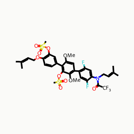 COc1cc(-c2cc(F)c(N(CC=C(C)C)C(=O)C(F)(F)F)cc2F)c(OC)c(OS(C)(=O)=O)c1-c1ccc(OCC=C(C)C)c(OS(C)(=O)=O)c1